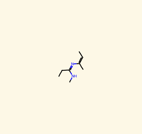 C/C=C(C)\N=C(\CC)NC